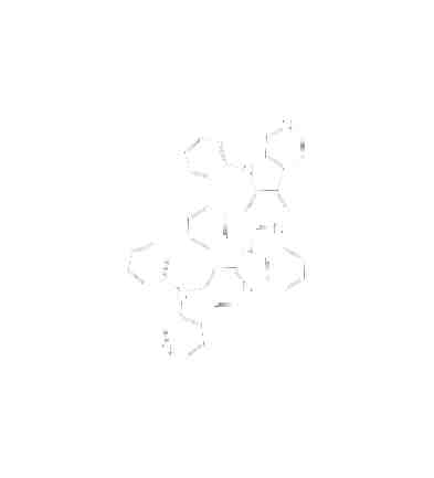 c1ccc(-n2c3cnccc3c3cnc([Si](c4ccccc4)(c4ccccc4)c4cc5c(cn4)c4ccncc4n5-c4ccccc4)cc32)cc1